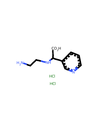 Cl.Cl.NCCNC(C(=O)O)c1cccnc1